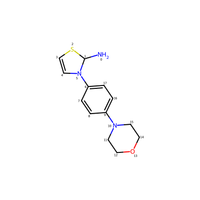 NC1SC=CN1c1ccc(N2CCOCC2)cc1